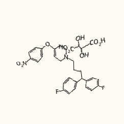 O=C(O)C(O)C(O)C(=O)O.O=[N+]([O-])c1ccc(OC2=CCN(CCCC(c3ccc(F)cc3)c3ccc(F)cc3)CC2)cc1